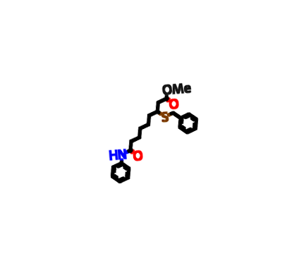 COC(=O)CC(CCCCCC(=O)Nc1ccccc1)SCc1ccccc1